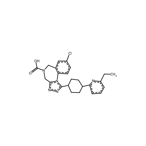 CCc1cccc(C2CCC(c3nnc4n3-c3ccc(Cl)cc3CN(C(=O)O)C4)CC2)n1